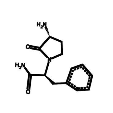 NC(=O)[C@H](Cc1ccccc1)N1CC[C@@H](N)C1=O